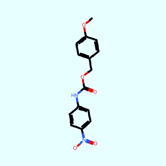 COc1ccc(COC(=O)Nc2ccc([N+](=O)[O-])cc2)cc1